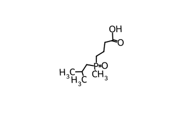 CC(C)CP(C)(=O)CCCC(=O)O